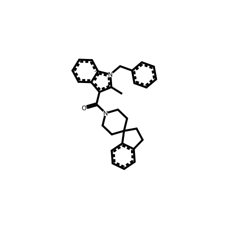 Cc1c(C(=O)N2CCC3(CCc4ccccc43)CC2)c2ccccc2n1Cc1ccccc1